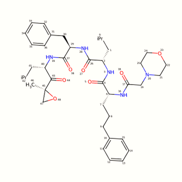 CC(C)C[C@H](NC(=O)[C@@H](CCCc1ccccc1)NC(=O)CN1CCOCC1)C(=O)N[C@H](Cc1ccccc1)C(=O)N[C@@H](CC(C)C)C(=O)[C@]1(C)CO1